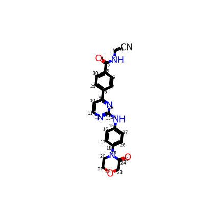 N#CCNC(=O)c1ccc(-c2ccnc(Nc3ccc(N4CCOCC4=O)cc3)n2)cc1